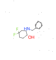 O[C@@H]1CCC(F)(F)C[C@H]1NCc1ccccc1